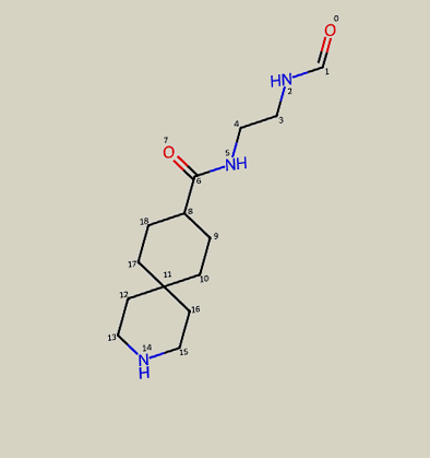 O=CNCCNC(=O)C1CCC2(CCNCC2)CC1